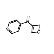 C1=C(Nc2ccncc2)CO1